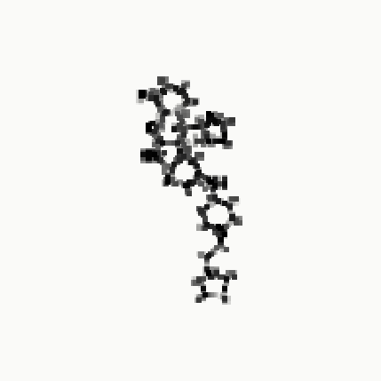 O=C1Nc2ccc(NC3CCN(CCN4CCCC4)CC3)cc2C1=C(c1cccc(F)c1)c1ncc[nH]1